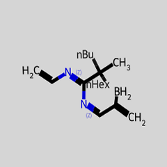 BC(=C)/C=N\C(=N/C=C)C(C)(CCCC)CCCCCC